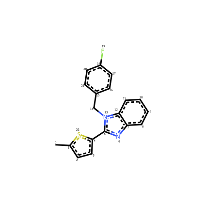 Cc1ccc(-c2nc3ccccc3n2Cc2ccc(F)cc2)s1